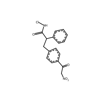 O=C(C[N+](=O)[O-])c1ccc(CC(C(=O)NCl)c2ccccc2)cc1